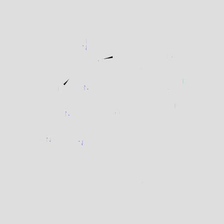 Nc1nc(N2C[C@@H]3C[C@H]2CN3)c2oc3ccc(Cl)c(Cl)c3c2n1.O=C(O)C(F)(F)F